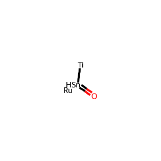 [O]=[SnH][Ti].[Ru]